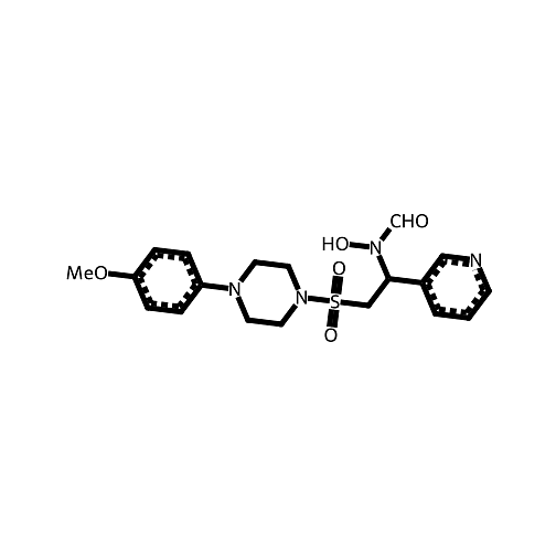 COc1ccc(N2CCN(S(=O)(=O)CC(c3cccnc3)N(O)C=O)CC2)cc1